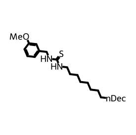 CCCCCCCCCCCCCCCCCCNC(=S)NCc1cccc(OC)c1